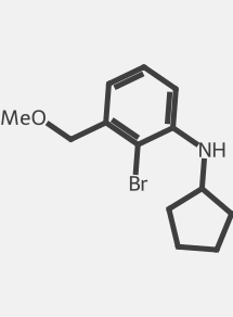 COCc1cccc(NC2CCCC2)c1Br